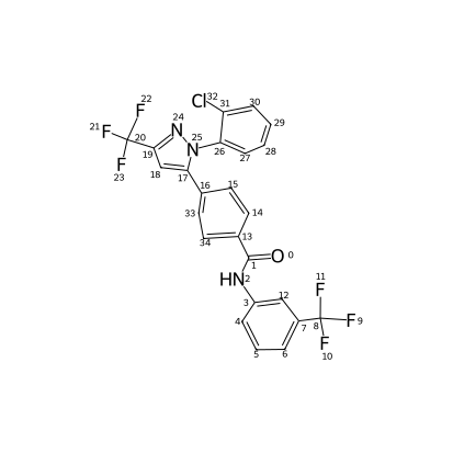 O=C(Nc1cccc(C(F)(F)F)c1)c1ccc(-c2cc(C(F)(F)F)nn2-c2ccccc2Cl)cc1